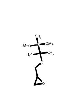 CO[Si](C)(OC)C(C)(C)OCC1CO1